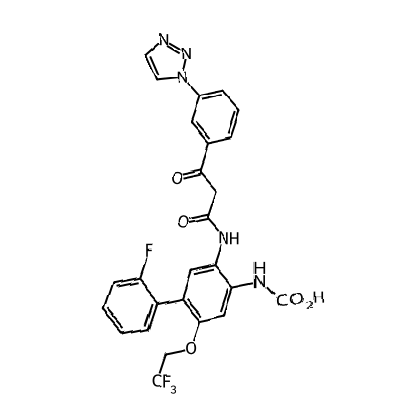 O=C(O)Nc1cc(OCC(F)(F)F)c(-c2ccccc2F)cc1NC(=O)CC(=O)c1cccc(-n2ccnn2)c1